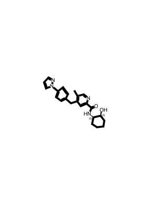 Cc1cnc(C(=O)N[C@H]2CCCC[C@@H]2O)cc1Cc1ccc(-n2cccn2)cc1